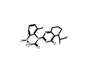 Cc1cccc([N+](=O)[O-])c1N(C(N)=O)c1nc(Cl)c2c(n1)CCCC2C(F)F